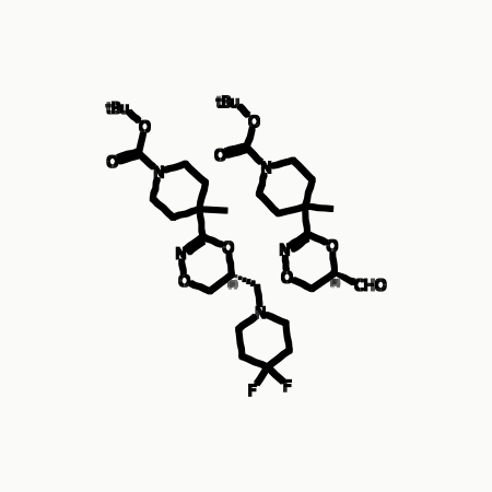 CC(C)(C)OC(=O)N1CCC(C)(C2=NOC[C@@H](CN3CCC(F)(F)CC3)O2)CC1.CC(C)(C)OC(=O)N1CCC(C)(C2=NOC[C@H](C=O)O2)CC1